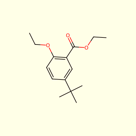 CCOC(=O)c1cc(C(C)(C)C)ccc1OCC